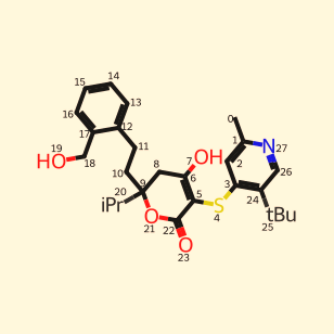 Cc1cc(SC2=C(O)CC(CCc3ccccc3CO)(C(C)C)OC2=O)c(C(C)(C)C)cn1